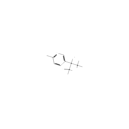 OC(c1ccc(Cl)nc1)(C(F)(F)F)C(F)(F)F